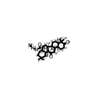 CC1(C)CC[C@]2(C(=O)N=[N+]=[N-])CC[C@]3(C)[C@H](C(=O)C=C4[C@@]5(C)CCC(=O)C(C)(C)[C@@H]5CC[C@]43C)[C@@H]2C1